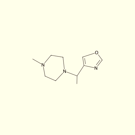 CC(c1cocn1)N1CCN(C)CC1